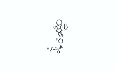 CCOC(=O)[C@H]1C[C@H]1C1C=CC(c2cc3nc(C(=O)N4CCCCC[C@H]4C)cc(CC)n3n2)=C(F)C1